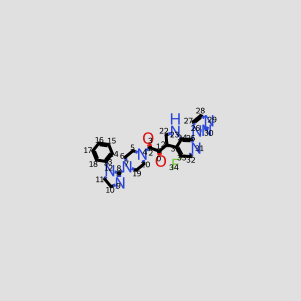 O=C(C(=O)N1CCN(C2=NCCN2c2ccccc2)CC1)C1CNc2c(-n3ccnn3)ncc(F)c21